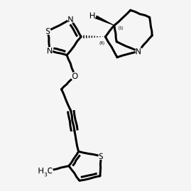 Cc1ccsc1C#CCOc1nsnc1[C@H]1CN2CCC[C@@H]1C2